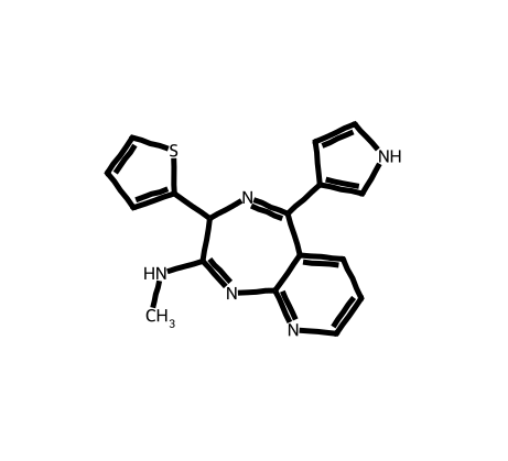 CNC1=Nc2ncccc2C(c2cc[nH]c2)=NC1c1cccs1